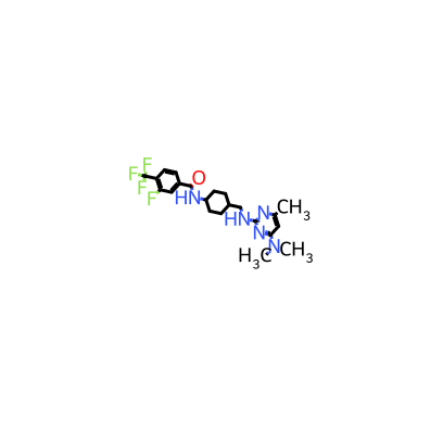 Cc1cc(N(C)C)nc(NCC2CCC(NC(=O)c3ccc(C(F)(F)F)c(F)c3)CC2)n1